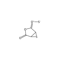 O=C1OC(=[O+][S-])C2SC12